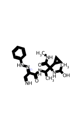 CNC(=O)C(NC(C)O)(C1CC1)C(C)NC(=O)/C(C=N)=N/Nc1ccccc1